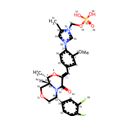 COc1cc(/C=C2\O[C@@H](C)[C@H]3COC[C@@H](c4ccc(F)c(F)c4)N3C2=O)ccc1-n1cc(C)[n+](COP(=O)(O)O)c1